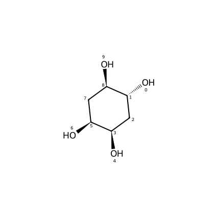 O[C@@H]1C[C@@H](O)[C@@H](O)C[C@H]1O